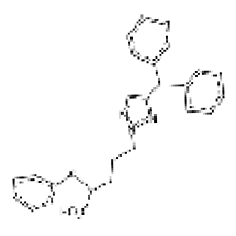 O=C(O)C(CCCn1ncc(C(c2ccccc2)c2ccccc2)n1)Oc1ccccc1